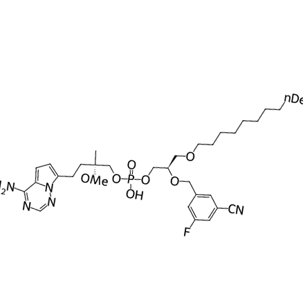 CCCCCCCCCCCCCCCCCCOC[C@H](COP(=O)(O)OC[C@](C)(CCc1ccc2c(N)ncnn12)OC)OCc1cc(F)cc(C#N)c1